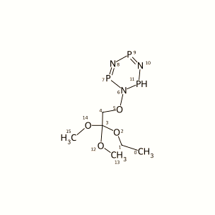 CCOC(CON1P=NP=NP1)(OC)OC